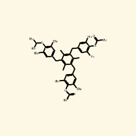 Cc1c(Cc2cc(C(C)(C)C)c(OC(=O)C(C)(C)C)c(C(C)(C)C)c2)c(C)c(Cc2cc(C(C)(C)C)c(OC(O)C(C)(C)C)c(C(C)(C)C)c2)c(C)c1Cc1cc(C(C)(C)C)c(OC(=O)C(C)(C)C)c(C(C)(C)C)c1